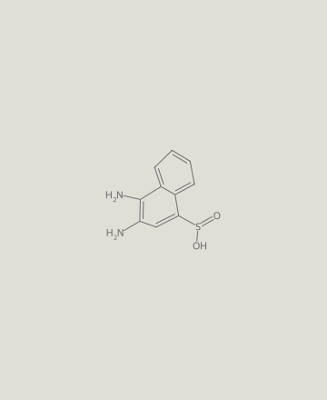 Nc1cc(S(=O)O)c2ccccc2c1N